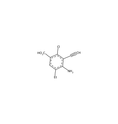 C#Cc1c(N)c(CC)cc(C(=O)O)c1Cl